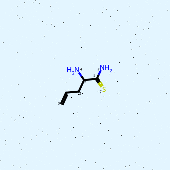 C=CCC(N)C(N)=S